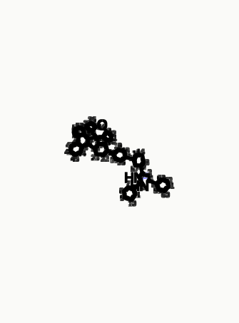 N=C(/C=C(\NCc1ccccc1)c1cccc(-c2ccc(-c3ccc4c(c3)C3(c5ccccc5Oc5ccccc53)c3c-4c4ccccc4c4ccccc34)cc2)c1)c1ccccc1